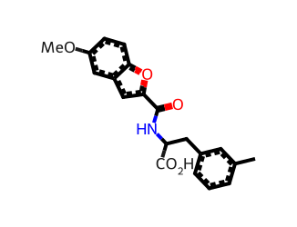 COc1ccc2oc(C(=O)NC(Cc3cccc(C)c3)C(=O)O)cc2c1